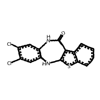 O=C1Nc2cc(Cl)c(Cl)cc2Nc2sc3ccccc3c21